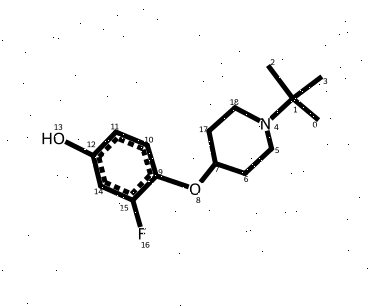 CC(C)(C)N1CCC(Oc2ccc(O)cc2F)CC1